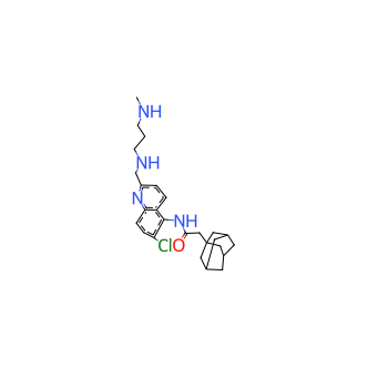 CNCCCNCc1ccc2c(NC(=O)CC34CC5CC(CC(C5)C3)C4)c(Cl)ccc2n1